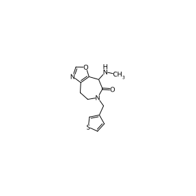 CNC1C(=O)N(Cc2ccsc2)CCc2ncoc21